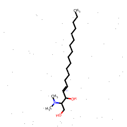 CCCCCCCCCCCCC/C=C/C(O)C(CO)N(C)C